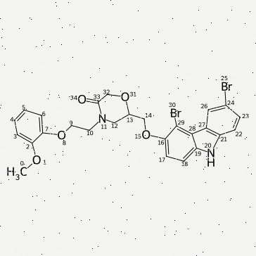 COc1ccccc1OCCN1CC(COc2ccc3[nH]c4ccc(Br)cc4c3c2Br)OCC1=O